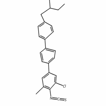 CCC(C)Cc1ccc(-c2ccc(-c3cc(C)c(N=C=S)c(Cl)c3)cc2)cc1